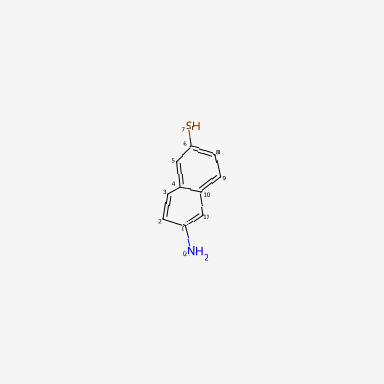 Nc1ccc2cc(S)ccc2c1